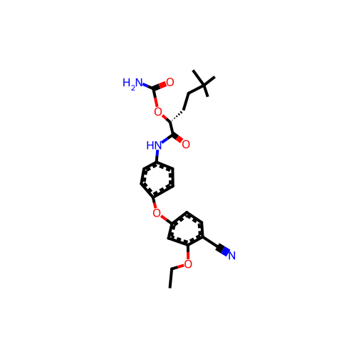 CCOc1cc(Oc2ccc(NC(=O)[C@@H](CCC(C)(C)C)OC(N)=O)cc2)ccc1C#N